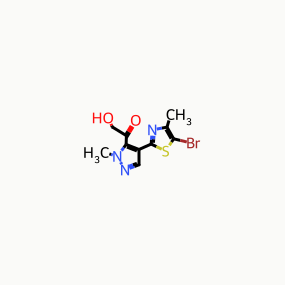 Cc1nc(-c2cnn(C)c2C(=O)CO)sc1Br